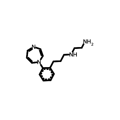 NCCNCCCc1ccccc1N1C=CC=NC=C1